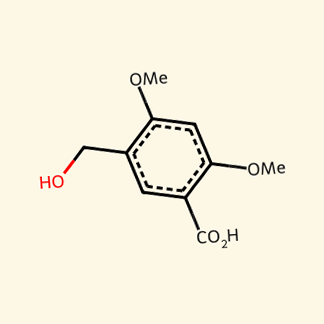 COc1cc(OC)c(C(=O)O)cc1CO